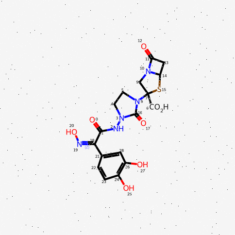 O=C(NN1CCN(C2(C(=O)O)CN3C(=O)CC3S2)C1=O)/C(=N\O)c1ccc(O)c(O)c1